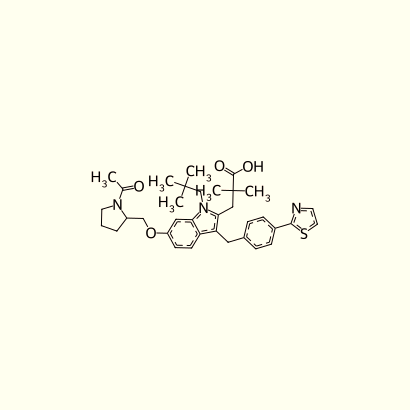 CC(=O)N1CCCC1COc1ccc2c(Cc3ccc(-c4nccs4)cc3)c(CC(C)(C)C(=O)O)n(CC(C)(C)C)c2c1